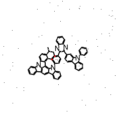 CC1CC=Cc2c1ccc1c2c2c3c(cc4c5ccccc5n1c42)c1ccccc1n3-c1ccc(-c2nc3ccccc3nc2-c2ccc3c4ccccc4n(-c4ccccc4)c3c2)cc1